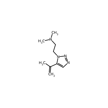 C=C(C)c1cnnn1CCN(C)C